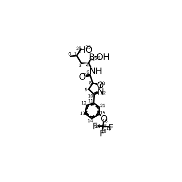 CC(C)C[C@H](NC(=O)C1CC(c2cccc(OC(F)(F)F)c2)=NO1)B(O)O